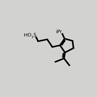 CC(C)=C1CCC(C(C)C)=C1CCCS(=O)(=O)O